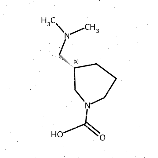 CN(C)C[C@@H]1CCCN(C(=O)O)C1